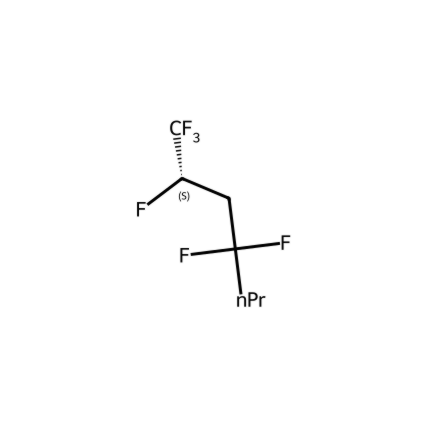 [CH2]CCC(F)(F)C[C@H](F)C(F)(F)F